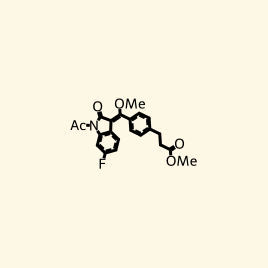 COC(=O)CCc1ccc(C(OC)=C2C(=O)N(C(C)=O)c3cc(F)ccc32)cc1